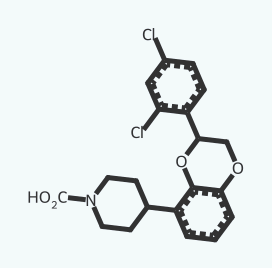 O=C(O)N1CCC(c2cccc3c2OC(c2ccc(Cl)cc2Cl)CO3)CC1